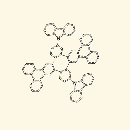 c1ccc2c(c1)c1ccccc1c1cc3c(cc21)-c1ccc(-n2c4ccccc4c4ccccc42)cc1-c1cc2c4ccccc4c4ccccc4c2cc1-c1cc(-n2c4ccccc4c4ccccc42)ccc1-3